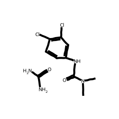 CN(C)C(=O)Nc1ccc(Cl)c(Cl)c1.NC(N)=O